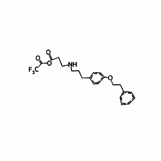 O=C(CCNCCCc1ccc(OCCc2ccccc2)cc1)OC(=O)C(F)(F)F